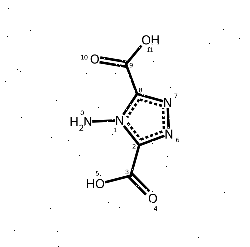 Nn1c(C(=O)O)nnc1C(=O)O